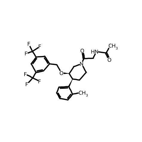 CC(=O)NCC(=O)N1CC[C@@H](c2ccccc2C)[C@@H](OCc2cc(C(F)(F)F)cc(C(F)(F)F)c2)C1